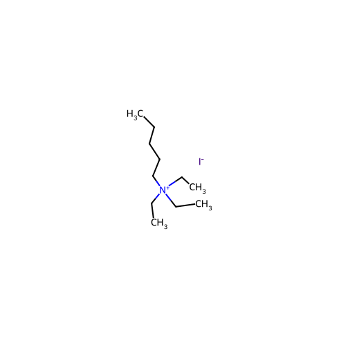 CCCCC[N+](CC)(CC)CC.[I-]